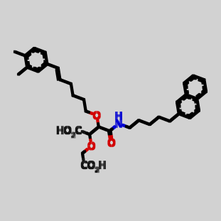 Cc1ccc(/C=C/CCCCOC(C(=O)NCCCCCc2ccc3ccccc3c2)C(OCC(=O)O)C(=O)O)cc1C